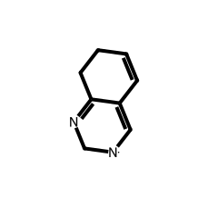 C1=CC2=C[N]CN=C2CC1